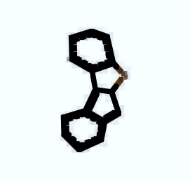 [c]1cccc2c1C1=c3ccccc3=CC1S2